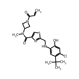 C=CC(=O)N1CC(N(C)C(=O)c2csc(CNc3cc(C(C)(C)C)c(Cl)cc3O)n2)C1